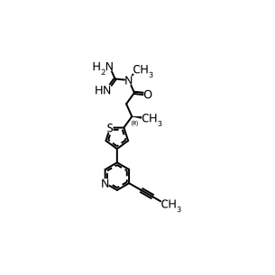 CC#Cc1cncc(-c2csc([C@H](C)CC(=O)N(C)C(=N)N)c2)c1